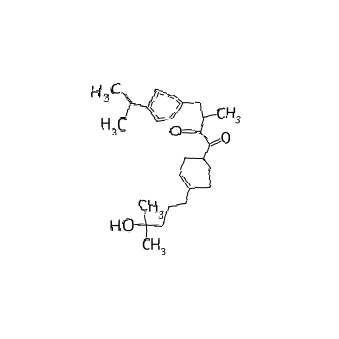 CC(Cc1ccc(C(C)C)cc1)C(=O)C(=O)C1CC=C(CCCC(C)(C)O)CC1